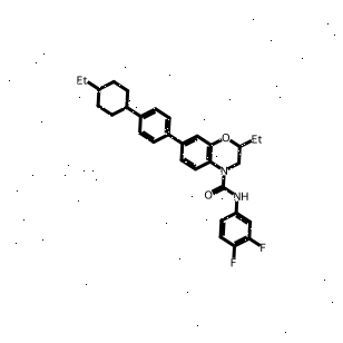 CCC1CCC(c2ccc(-c3ccc4c(c3)OC(CC)CN4C(=O)Nc3ccc(F)c(F)c3)cc2)CC1